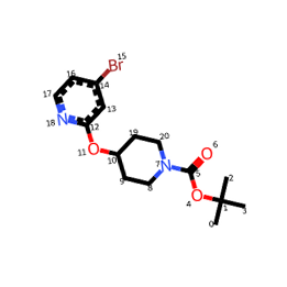 CC(C)(C)OC(=O)N1CCC(Oc2cc(Br)ccn2)CC1